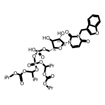 CC(C)OC(=O)OC(OP(=O)(OC(OC(=O)OC(C)C)C(C)C)OP(=O)(O)OC[C@H]1O[C@@H](n2ccc(=O)n(Cc3coc4ccccc34)c2=O)[C@@H](O)C1O)C(C)C